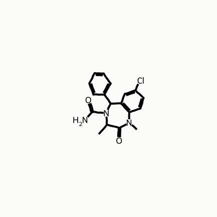 CC1C(=O)N(C)c2ccc(Cl)cc2C(c2ccccc2)N1C(N)=O